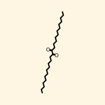 CCCCCCCCCCCCC(=O)C(=O)CCCCCCCCCCCC